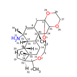 CC1OCCOC23CC4=C[C@@H](N)[C@@H]5C(CC[C@]6(C)[C@@H]1CC[C@H]56)[C@@]4(C)CC2OCCO3